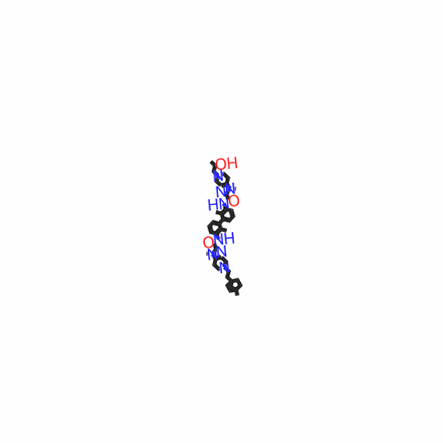 Cc1c(NC(=O)c2nc3c(n2C)CCN(CCC24CCC(C)(CC2)C4)C3)cccc1-c1cccc(NC(=O)c2nc3c(n2C)CCN(CC(C)O)C3)c1C